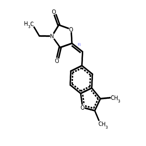 CCN1C(=O)O/C(=C/c2ccc3oc(C)c(C)c3c2)C1=O